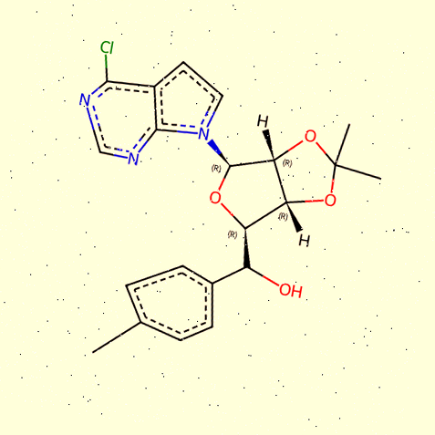 Cc1ccc(C(O)[C@H]2O[C@@H](n3ccc4c(Cl)ncnc43)[C@@H]3OC(C)(C)O[C@@H]32)cc1